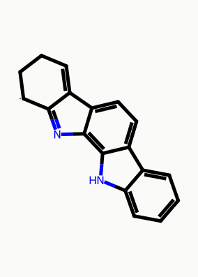 [CH]1CCC=C2C1=Nc1c2ccc2c1[nH]c1ccccc12